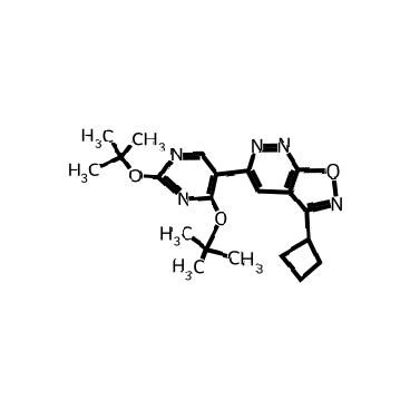 CC(C)(C)Oc1ncc(-c2cc3c(C4CCC4)noc3nn2)c(OC(C)(C)C)n1